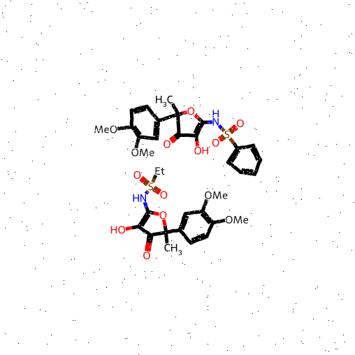 CCS(=O)(=O)NC1=C(O)C(=O)C(C)(c2ccc(OC)c(OC)c2)O1.COc1ccc(C2(C)OC(NS(=O)(=O)c3ccccc3)=C(O)C2=O)cc1OC